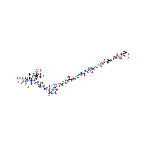 C/C(=N\O)C(C)(C)NCC(CNC(C)(C)/C(C)=N/O)NC(=O)CCCC(=O)NCCCC[C@H](NCNC(=O)COCCOCCNC(=O)COCCOCCNC(=O)CCCC(=O)NCCOCCOCC(=O)NCCOCCOCC(=O)NC(C)N)C(N)=O